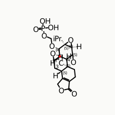 CC(C)[C@]12O[C@H]1[C@@H]1O[C@]13[C@]1(O[C@H]1C[C@H]1C4=C(CC[C@@]13C)C(=O)OC4)[C@@H]2OCOP(=O)(O)O